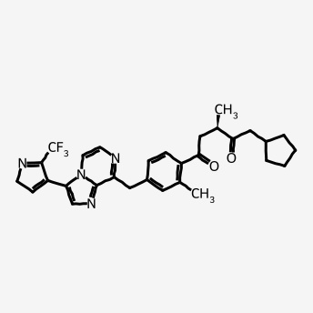 Cc1cc(Cc2nccn3c(C4=CCN=C4C(F)(F)F)cnc23)ccc1C(=O)C[C@@H](C)C(=O)CC1CCCC1